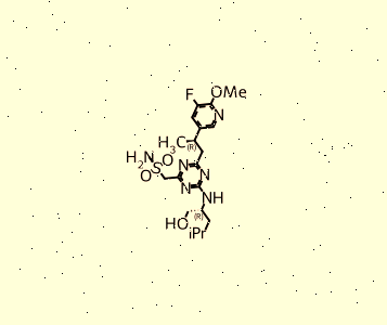 COc1ncc([C@H](C)Cc2nc(CS(N)(=O)=O)nc(N[C@@H](CO)CC(C)C)n2)cc1F